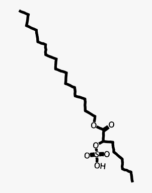 CCCCCCCCCCCCCCCCOC(=O)C(CCCCCC)OS(=O)(=O)O